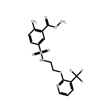 COC(=O)c1cc(S(=O)(=O)NCCSc2ncccc2C(F)(F)F)ccc1C